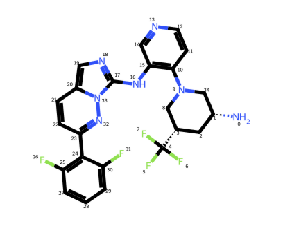 N[C@@H]1C[C@H](C(F)(F)F)CN(c2ccncc2Nc2ncc3ccc(-c4c(F)cccc4F)nn23)C1